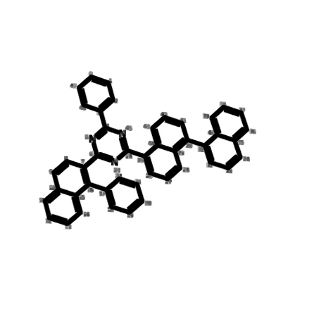 c1ccc(-c2nc(-c3ccc4ccccc4c3-c3ccccc3)nc(-c3cccc4c(-c5cccc6ccccc56)cccc34)n2)cc1